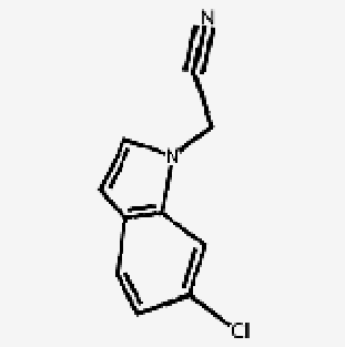 N#CCn1ccc2ccc(Cl)cc21